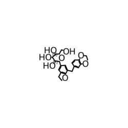 OCC1OC(c2cc3c(c(Cc4ccc5c(c4)OCCO5)c2)OCC3)[C@H](O)C(O)[C@@H]1O